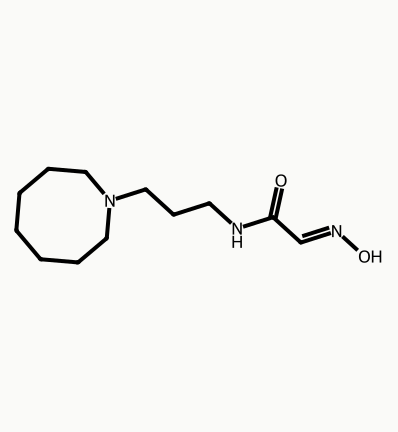 O=C(C=NO)NCCCN1CCCCCCC1